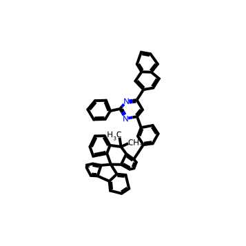 CC1(C)c2ccccc2C2(c3ccccc3-c3ccccc32)c2cccc(-c3cccc(-c4cc(-c5ccc6ccccc6c5)nc(-c5ccccc5)n4)c3)c21